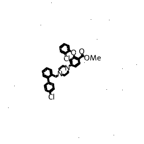 COC(=O)c1ccc(N2CCN(Cc3ccccc3-c3ccc(Cl)cc3)CC2)cc1Oc1ccccc1Cl